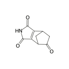 O=C1NC(=O)C2=C1C1CC(=O)C2C1